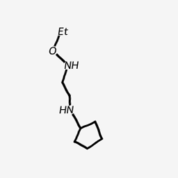 CCONCCNC1CCCC1